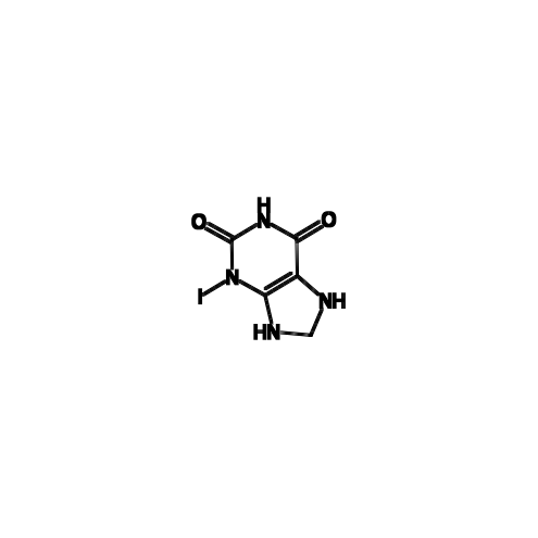 O=c1[nH]c(=O)n(I)c2c1NCN2